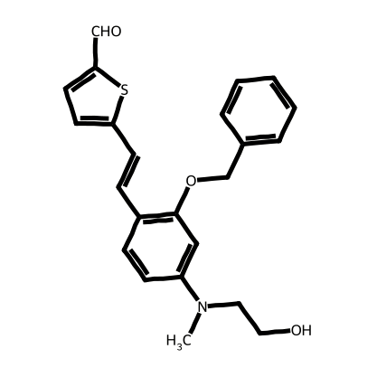 CN(CCO)c1ccc(C=Cc2ccc(C=O)s2)c(OCc2ccccc2)c1